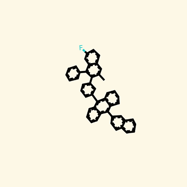 Cc1cc2ccc(F)cc2c(-c2ccccc2)c1-c1cccc(-c2c3ccccc3c(-c3ccc4ccccc4c3)c3ccccc23)c1